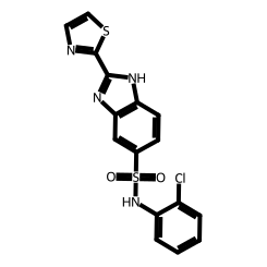 O=S(=O)(Nc1ccccc1Cl)c1ccc2[nH]c(-c3nccs3)nc2c1